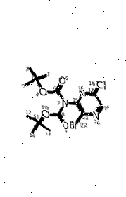 CC(C)(C)OC(=O)N(C(=O)OC(C)(C)C)c1nc(Cl)cnc1Br